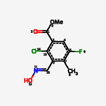 COC(=O)c1cc(F)c(C)c(/C=N/O)c1Cl